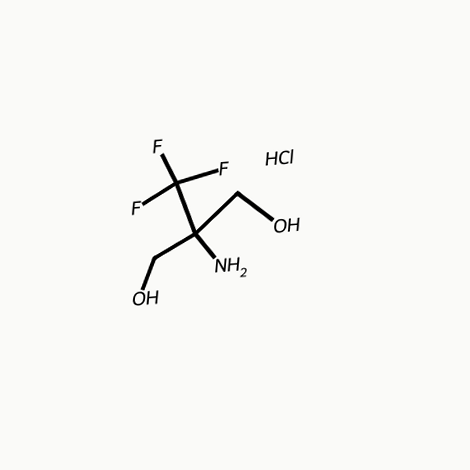 Cl.NC(CO)(CO)C(F)(F)F